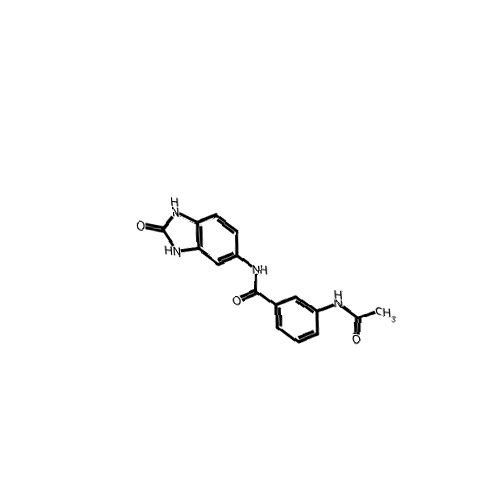 CC(=O)Nc1cccc(C(=O)Nc2ccc3[nH]c(=O)[nH]c3c2)c1